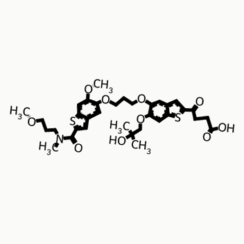 COCCCN(C)C(=O)c1cc2cc(OCCCOc3cc4cc(C(=O)CCC(=O)O)sc4cc3OCC(C)(C)O)c(OC)cc2s1